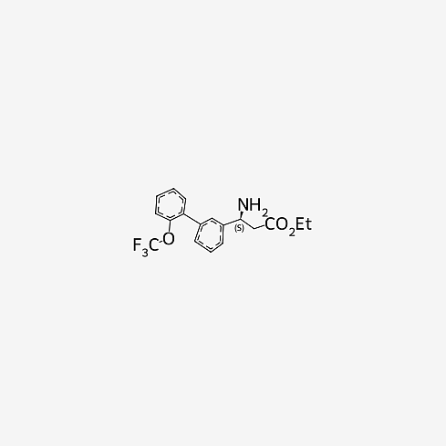 CCOC(=O)C[C@H](N)c1cccc(-c2ccccc2OC(F)(F)F)c1